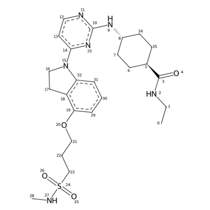 CCNC(=O)[C@H]1CC[C@H](Nc2nccc(N3CCc4c(OCCCS(=O)(=O)NC)cccc43)n2)CC1